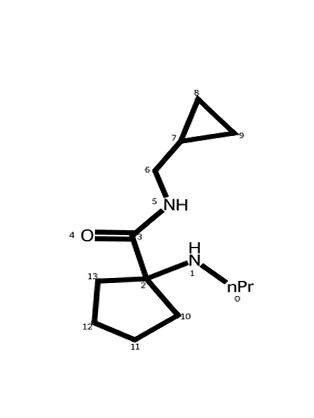 CCCNC1(C(=O)NCC2CC2)CCCC1